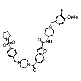 COc1ccc(CN2CCC(NC(=O)c3cc4cc(C(=O)N5CCN(Cc6ccc(S(=O)(=O)N7CCCC7)cc6)CC5)ccc4o3)CC2)cc1F